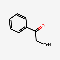 O=C(C[TeH])c1ccccc1